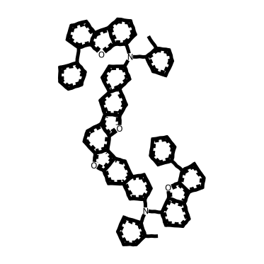 Cc1ccccc1N(c1ccc2cc3c(cc2c1)oc1c3ccc2oc3cc4cc(N(c5ccccc5C)c5cccc6c5oc5c(-c7ccccc7)cccc56)ccc4cc3c21)c1cccc2c1oc1c(-c3ccccc3)cccc12